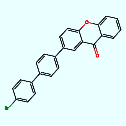 O=c1c2ccccc2oc2ccc(-c3ccc(-c4ccc(Br)cc4)cc3)cc12